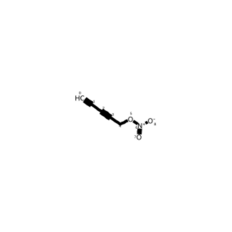 C#CC#CCO[N+](=O)[O-]